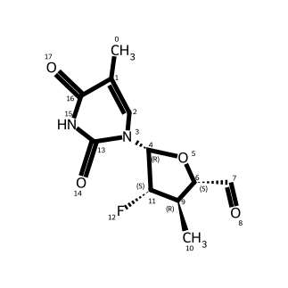 Cc1cn([C@@H]2O[C@H](C=O)[C@@H](C)[C@@H]2F)c(=O)[nH]c1=O